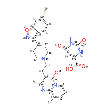 Cc1nc2c(C)cccn2c(=O)c1CCN1CCC(c2noc3cc(F)ccc23)CC1.O=C(O)c1cc(=O)[nH]c(=O)[nH]1